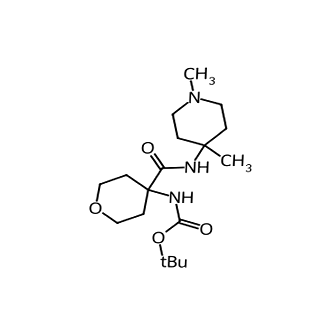 CN1CCC(C)(NC(=O)C2(NC(=O)OC(C)(C)C)CCOCC2)CC1